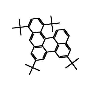 CC(C)(C)c1cc2cccc3c2c(c1)c1cc(C(C)(C)C)cc2cc4c(C(C)(C)C)ccc(C(C)(C)C)c4c3c21